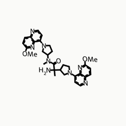 COc1ccc2nccc(N3CCC(N(C)C(=O)C(C)(N)C4CCN(c5ccnc6ccc(OC)nc56)C4)C3)c2n1